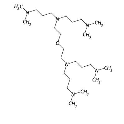 CN(C)CCCN(CCCN(C)C)CCOCCN(CCCN(C)C)CCCN(C)C